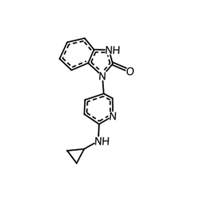 O=c1[nH]c2ccccc2n1-c1ccc(NC2CC2)nc1